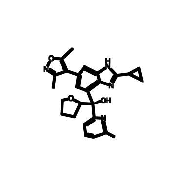 Cc1cccc([C@@](O)(c2cc(-c3c(C)noc3C)cc3[nH]c(C4CC4)nc23)C2CCCO2)n1